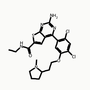 CCNC(=O)c1cc2c(-c3cc(OCCC4CCCN4C)c(Cl)cc3Cl)nc(N)nc2s1